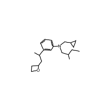 CCC(C)CN(CC1CC1)c1cccc(C(C)CC2CCO2)c1